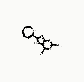 Nc1nc(N)c2[nH]c(C3=CC=CC=CN3)nc2n1